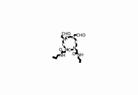 C=CCNC(=O)CN1CCCN(CC=O)CCN(CC=O)CCCN(CC(=O)NCC=C)CC1